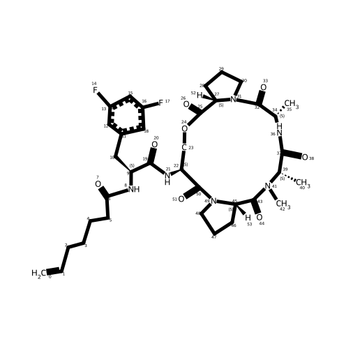 C=CCCCCC(=O)N[C@@H](Cc1cc(F)cc(F)c1)C(=O)N[C@H]1COC(=O)[C@@H]2CCCN2C(=O)[C@H](C)NC(=O)[C@H](C)N(C)C(=O)[C@@H]2CCCN2C1=O